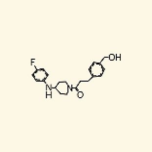 O=C(CCc1ccc(CO)cc1)N1CCC(Nc2ccc(F)cc2)CC1